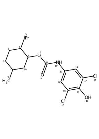 CC1CCC(C(C)C)C(OC(=O)Nc2cc(Cl)c(O)c(Cl)c2)C1